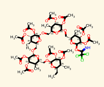 CC[C@H]1O[C@@H](OC[C@H]2O[C@@H](OC[C@H]3O[C@@H](OC[C@H]4O[C@@H](OC[C@H]5OC(OC(=N)C(Cl)(Cl)Cl)[C@H](OC(C)=O)[C@@H](OC(C)=O)[C@@H]5C)[C@H](OC(C)=O)[C@@H](OC(C)=O)[C@@H]4C)[C@H](OC(C)=O)[C@@H](OC(C)=O)[C@@H]3C)[C@H](OC(C)=O)[C@@H](OC(C)=O)[C@@H]2C)[C@H](OC(C)=O)[C@@H](OC(C)=O)[C@@H]1C